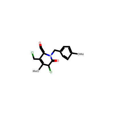 COC1=C(CCl)C(=C=O)N(Cc2ccc(OC)cc2)C(=O)C1Cl